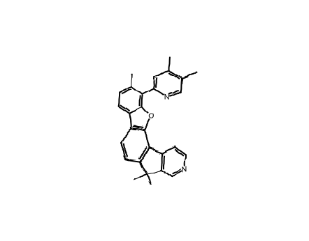 Cc1cnc(-c2c(C)ccc3c2oc2c4c(ccc23)C(C)(C)c2cnccc2-4)cc1C